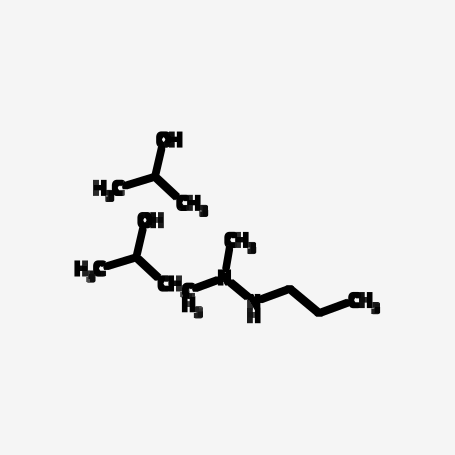 CC(C)O.CC(C)O.CCCNN(C)C